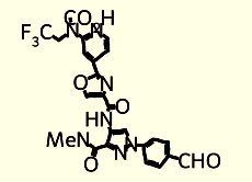 CNC(=O)c1nn(-c2ccc(C=O)cc2)cc1NC(=O)c1coc(-c2ccnc(N(CC(F)(F)F)C(=O)O)c2)n1